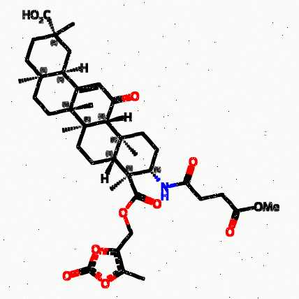 COC(=O)CCC(=O)N[C@H]1CC[C@@]2(C)[C@@H](CC[C@]3(C)[C@@H]2C(=O)C=C2[C@@H]4C[C@@](C)(C(=O)O)CC[C@]4(C)CC[C@]23C)[C@]1(C)C(=O)OCc1oc(=O)oc1C